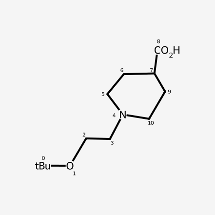 CC(C)(C)OCCN1CCC(C(=O)O)CC1